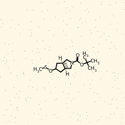 CSOC1C[C@@H]2CN(C(=O)OC(C)(C)C)C[C@@H]2C1